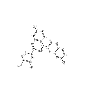 N#Cc1ccc(C(=O)N[C@@H](c2ccc(Cl)cc2)c2cc3cc(Cl)ccc3cn2)cc1F